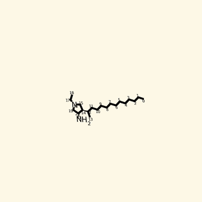 CCCCCCCCCCCCC(C)[C@@H]1CN(CC)C[C@H]1N